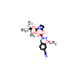 COc1cc(C#N)ccc1CNC(=O)OC1CCN1C(=O)OC(C)(C)C